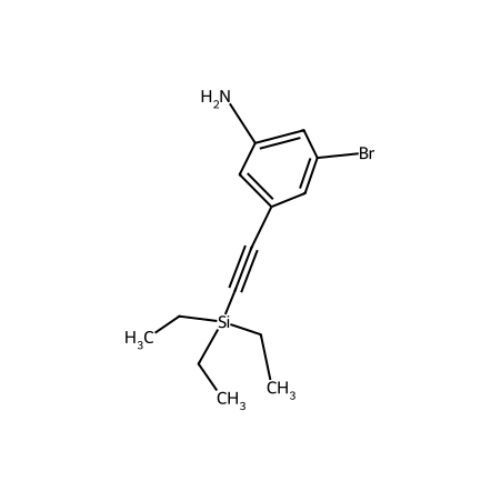 CC[Si](C#Cc1cc(N)cc(Br)c1)(CC)CC